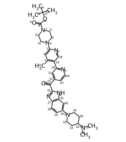 Cc1cc(N2CCN(C(=O)OC(C)(C)C)CC2)ncc1-c1cc(C(=O)c2nc3ccc(N4CCC(N(C)C)CC4)cc3[nH]2)ccn1